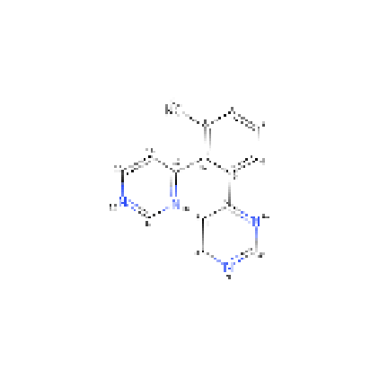 N#Cc1cccc(-c2ccncn2)c1-c1ccncn1